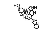 O=C(NCc1ccccn1)c1cnc2[nH]ccc2c1N[C@H]1[C@@H]2CC3C[C@H]1C[C@@](O)(C3)C2